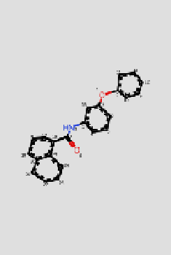 O=C(Nc1cccc(Oc2ccccc2)c1)c1cccc2ccccc12